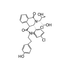 C[C@H](O)[C@H](CO)N1C(=O)c2ccccc2[C@H](C(=O)NCCc2ccc(O)cc2)[C@H]1c1ccc(Cl)cc1Cl